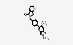 Cc1cc2nn(C)cc2cc1-c1ccc(CN2Cc3ncccc3C2=O)cc1